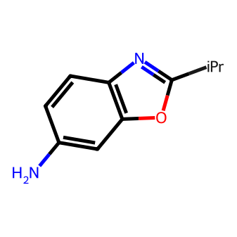 CC(C)c1nc2ccc(N)cc2o1